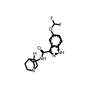 O=C(N[C@@H]1CN2CCC1CC2)c1n[nH]c2ccc(OC(F)F)cc12